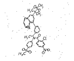 CC(c1cccc(-c2cc(C(C)(C)S(C)(=O)=O)cc3cccnc23)c1)N(C(=O)c1ccc([N+](=O)[O-])cc1Cl)c1ccc(S(C)(=O)=O)cc1